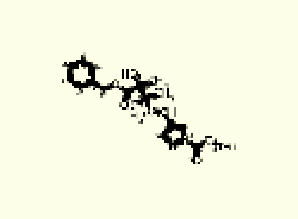 CC(C)(C)OC(=O)n1cc(BOC(C)(C)C(C)(O)C(=O)OCc2ccccc2)cn1